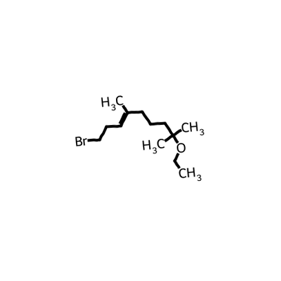 CCOC(C)(C)CCCC(C)=CCCBr